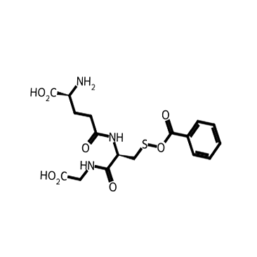 N[C@@H](CCC(=O)N[C@@H](CSOC(=O)c1ccccc1)C(=O)NCC(=O)O)C(=O)O